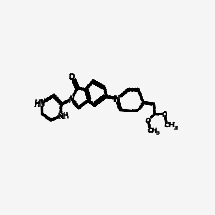 COC(CC1CCN(c2ccc3c(c2)CN(C2CNCCN2)C3=O)CC1)OC